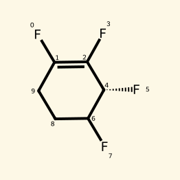 FC1=C(F)[C@H](F)C(F)CC1